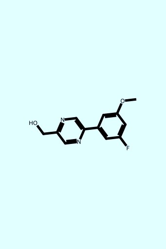 COc1cc(F)cc(-c2cnc(CO)cn2)c1